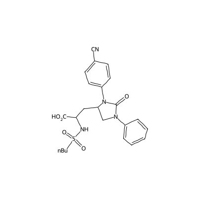 CCCCS(=O)(=O)NC(CC1CN(c2ccccc2)C(=O)N1c1ccc(C#N)cc1)C(=O)O